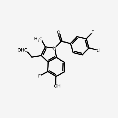 Cc1c(CC=O)c2c(F)c(O)ccc2n1C(=O)c1ccc(Cl)c(F)c1